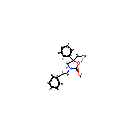 O=C1OC(CC(F)(F)F)(c2ccccc2)CN1CCc1ccccc1